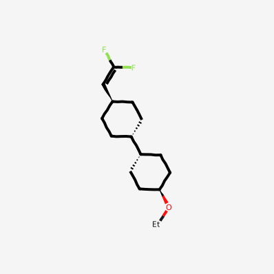 CCO[C@H]1CC[C@H]([C@H]2CC[C@H](C=C(F)F)CC2)CC1